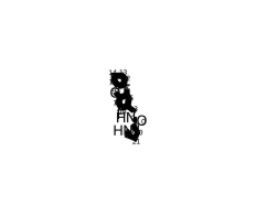 O=C(NCc1cc(F)c(Oc2ccccc2)cc1F)[C@@H]1CCCN1